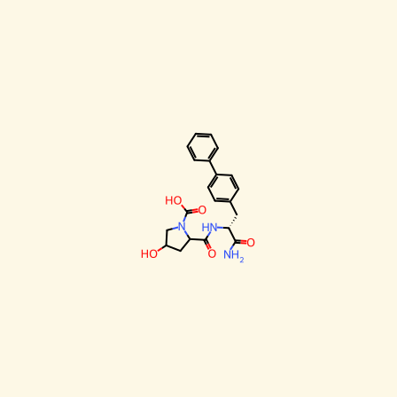 NC(=O)[C@@H](Cc1ccc(-c2ccccc2)cc1)NC(=O)C1CC(O)CN1C(=O)O